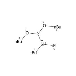 CCCCOC(OCCCC)[SiH](C(C)C)C(C)(C)C